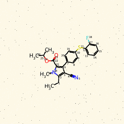 CCc1c(C#N)c(-c2ccc(Sc3ccccc3F)cc2)c(C(=O)OC(C)C)n1C